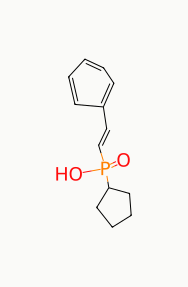 O=P(O)(C=Cc1ccccc1)C1CCCC1